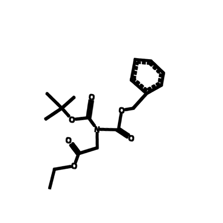 CCOC(=O)CN(C(=O)OCc1ccccc1)C(=O)OC(C)(C)C